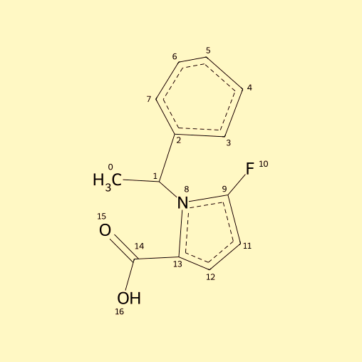 CC(c1ccccc1)n1c(F)ccc1C(=O)O